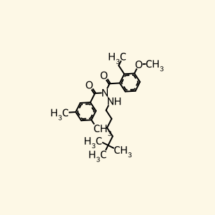 CCc1c(OC)cccc1C(=O)N(NCCCCC(C)(C)C)C(=O)c1cc(C)cc(C)c1